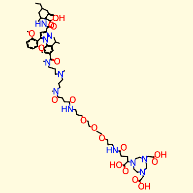 C=C1CC(CC)CC(C)C1(NC(=O)c1cc(-c2c(OC)cccc2OC)n(-c2ccc(C(=O)N(C)CCCN(C)CCCN(C)C(=O)CCC(=O)NCCCOCCOCCOCCCNC(=O)CCC(C(=O)O)N3CCN(CC(=O)O)CCN(CC(=O)O)CC3)cc2C(C)C)n1)C(=O)O